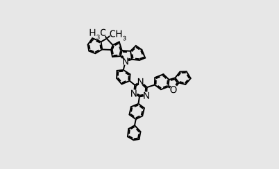 CC1(C)c2ccccc2-c2cc3c(cc21)c1ccccc1n3-c1cccc(-c2nc(-c3ccc(-c4ccccc4)cc3)nc(-c3ccc4c(c3)oc3ccccc34)n2)c1